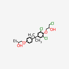 CC[C@H](O)COc1ccc(C(C)(C)c2cc(Cl)c(OC[C@H](O)CCl)c(Cl)c2)cc1